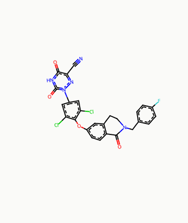 N#Cc1nn(-c2cc(Cl)c(Oc3ccc4c(c3)CCN(Cc3ccc(F)cc3)C4=O)c(Cl)c2)c(=O)[nH]c1=O